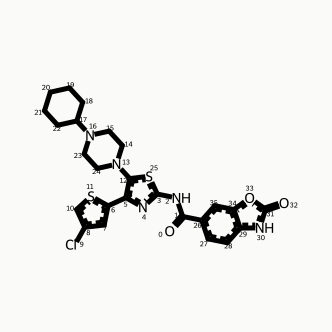 O=C(Nc1nc(-c2cc(Cl)cs2)c(N2CCN(C3CCCCC3)CC2)s1)c1ccc2[nH]c(=O)oc2c1